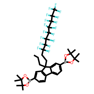 CCCC1(CCC(F)(F)C(F)(F)C(F)(F)C(F)(F)C(F)(F)C(F)(F)C(F)(F)C(F)(F)F)c2cc(B3OC(C)(C)C(C)(C)O3)ccc2-c2ccc(B3OC(C)(C)C(C)(C)O3)cc21